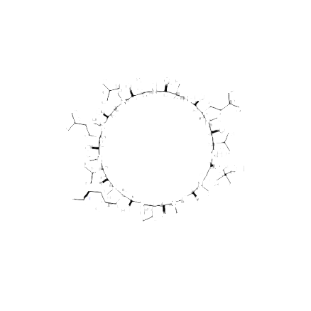 C/C=C/C[C@@H](C)C[C@@H]1C(=O)N[C@H](CC)C(=O)N(C)CC(=O)N(C)[C@@H](CC(C)(C)O)C(=O)N[C@H](C(C)C)C(=O)N(C)[C@H](CCC(C)C)C(=O)N[C@H](C)C(=O)N[C@@H](C)C(=O)N(C)[C@@H](CC(C)C)C(=O)N(C)[C@H](CCC(C)C)C(=O)N(C)[C@H](C(C)C)C(=O)N1C